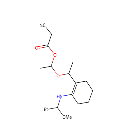 CCC(NC1=C(C(C)OC(C)OC(=O)CC#N)CCCC1)OC